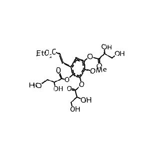 CCOC(=O)C=Cc1cc(OC(=O)C(O)CO)c(OC)c(OC(=O)C(O)CO)c1OC(=O)C(O)CO